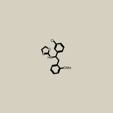 COc1ccccc1CC(NC1=NCCO1)c1cccc(Cl)c1